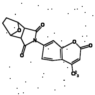 O=C1C2C3CCC(O3)C2C(=O)N1c1ccc2c(C(F)(F)F)cc(=O)oc2c1